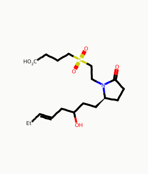 CC/C=C/CC(O)CC[C@@H]1CCC(=O)N1CCS(=O)(=O)CCCC(=O)O